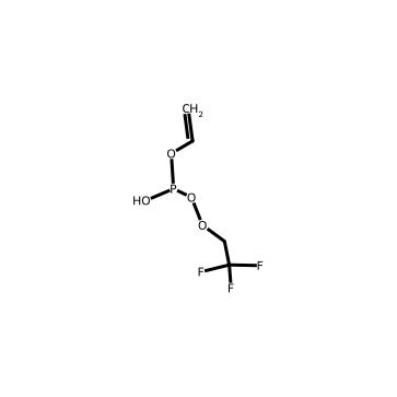 C=COP(O)OOCC(F)(F)F